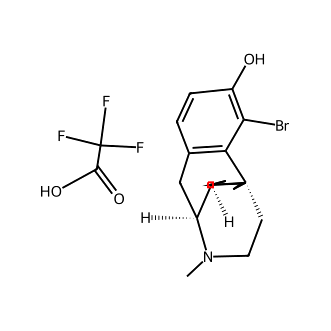 CN1CC[C@@]23CCCC[C@@H]2[C@@H]1Cc1ccc(O)c(Br)c13.O=C(O)C(F)(F)F